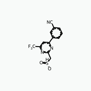 N#Cc1cccc(-c2cc(C(F)(F)F)nc(C[SH](=O)=O)n2)c1